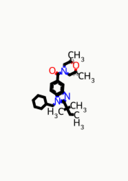 CCC(C)(C)c1nc2cc(C(=O)N3C[C@@H](C)O[C@@H](C)C3)ccc2n1CC1CCCCC1